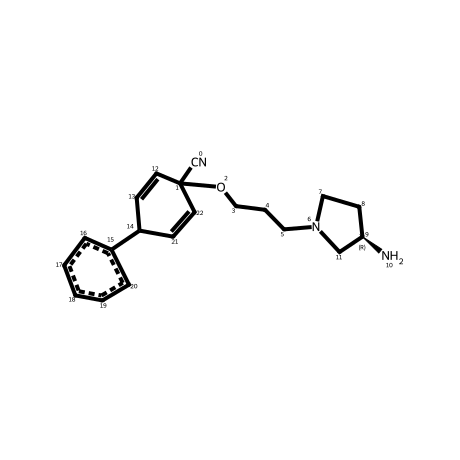 N#CC1(OCCCN2CC[C@@H](N)C2)C=CC(c2ccccc2)C=C1